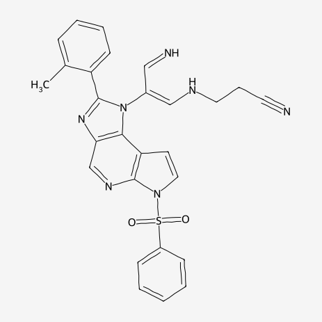 Cc1ccccc1-c1nc2cnc3c(ccn3S(=O)(=O)c3ccccc3)c2n1/C(C=N)=C/NCCC#N